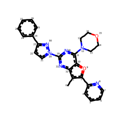 Cc1c(-c2ccccn2)oc2c(N3CCOCC3)nc(-n3ccc(-c4ccccc4)n3)nc12